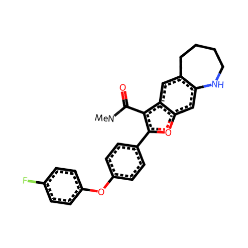 CNC(=O)c1c(-c2ccc(Oc3ccc(F)cc3)cc2)oc2cc3c(cc12)CCCCN3